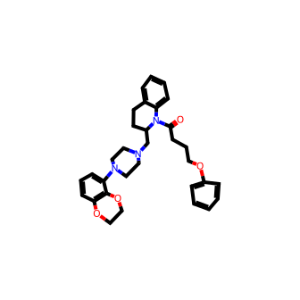 O=C(CCCOc1ccccc1)N1c2ccccc2CCC1CN1CCN(c2cccc3c2OCCO3)CC1